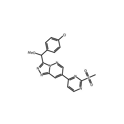 COC(c1ccc(Cl)cc1)c1nnc2cc(-c3ccnc(S(C)(=O)=O)n3)cnn12